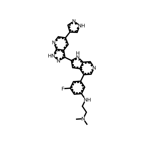 CN(C)CCNc1cc(F)cc(-c2cncc3[nH]c(-c4n[nH]c5ncc(-c6cn[nH]c6)cc45)cc23)c1